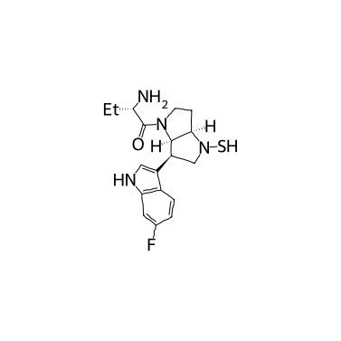 CC[C@H](N)C(=O)N1CC[C@@H]2[C@H]1[C@H](c1c[nH]c3cc(F)ccc13)CN2S